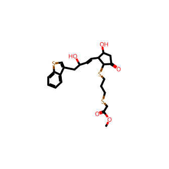 COC(=O)CSCCCSC1C(=O)CC(O)C1C=CC(O)Cc1csc2ccccc12